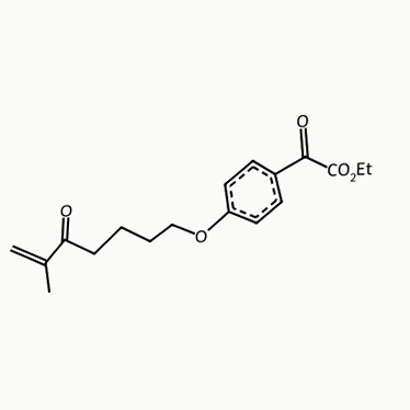 C=C(C)C(=O)CCCCOc1ccc(C(=O)C(=O)OCC)cc1